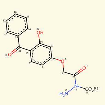 CCOC(=O)N(N)C(=O)COc1ccc(C(=O)c2ccccc2)c(O)c1